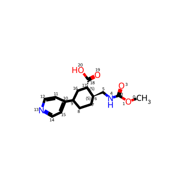 COC(=O)NC[C@H]1CCC(c2ccncc2)C[C@@H]1C(=O)O